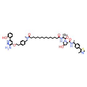 Cc1ncsc1-c1ccc([C@H](C)NC(=O)[C@@H]2C[C@@H](O)CN2C(=O)[C@@H](NC(=O)CCCCCCCCCCCCCC(=O)N(C)Cc2ccc(CCOc3cc(-c4ccccc4O)nnc3N)cc2)C(C)(C)C)cc1